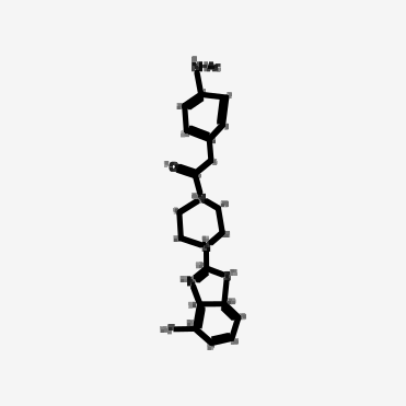 CC(=O)Nc1ccc(CC(=O)N2CCN(c3nc4c(F)cccc4s3)CC2)cc1